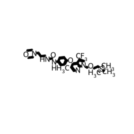 Cc1cc(NC(=O)NCCCN2CCOCC2)ccc1Oc1ccnc2c1c(C(F)(F)F)cn2COCCS(C)(C)C